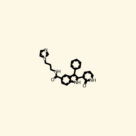 O=C(NCCCn1ccnc1)c1ccc2[nH]c(-c3ccc[nH]c3=O)c(-c3ccccc3)c2c1